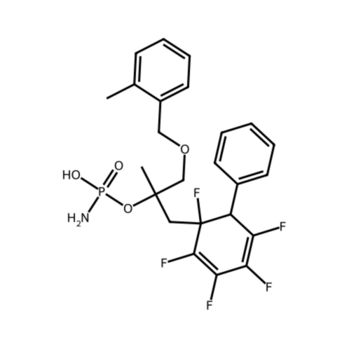 Cc1ccccc1COCC(C)(CC1(F)C(F)=C(F)C(F)=C(F)C1c1ccccc1)OP(N)(=O)O